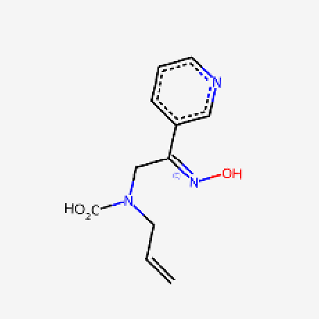 C=CCN(C/C(=N/O)c1cccnc1)C(=O)O